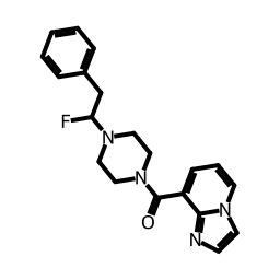 O=C(c1cccn2ccnc12)N1CCN(C(F)Cc2ccccc2)CC1